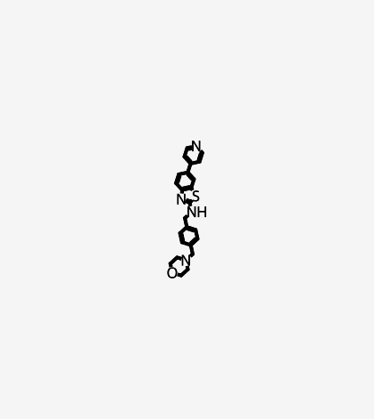 c1cc(-c2ccc3nc(NCc4ccc(CN5CCOCC5)cc4)sc3c2)ccn1